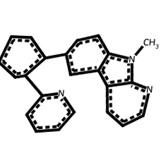 Cn1c2ccc(-c3ccccc3-c3ccccn3)cc2c2cccnc21